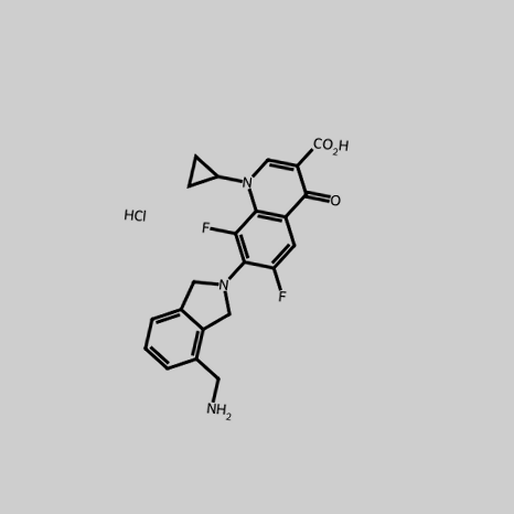 Cl.NCc1cccc2c1CN(c1c(F)cc3c(=O)c(C(=O)O)cn(C4CC4)c3c1F)C2